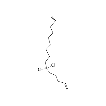 C=CCCCCCCC[Si](Cl)(Cl)CCCC=C